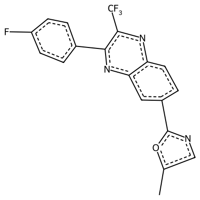 Cc1cnc(-c2ccc3nc(C(F)(F)F)c(-c4ccc(F)cc4)nc3c2)o1